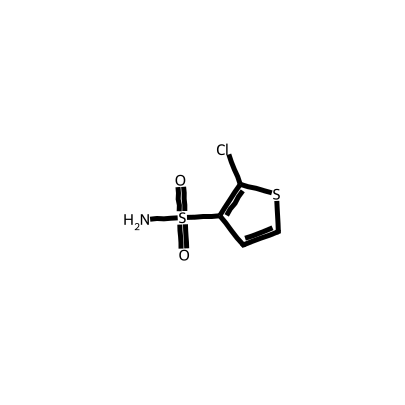 NS(=O)(=O)c1ccsc1Cl